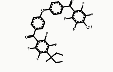 CCC(C)(CC)c1c(F)c(F)c(C(=O)c2ccc(Oc3ccc(C(=O)c4c(F)c(F)c(O)c(F)c4F)cc3)cc2)c(F)c1F